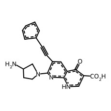 NC1CCN(c2nc3[nH]cc(C(=O)O)c(=O)c3cc2C#Cc2ccccc2)C1